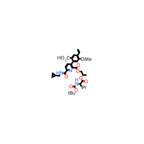 C=Cc1cc(C(=O)O)c(-c2ccc(C(=O)NCC3CC3)nc2C(=O)OCC(C)OC(=O)C(NC(=O)OC(C)(C)C)C(C)C)cc1OC